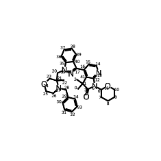 CC1(C)C(=O)N(C2CCCCO2)c2nccc(-c3nn(CC4(C)COCCN4Cc4ccccc4)c4ccccc34)c21